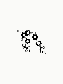 CCC(=O)N1CCN(c2ccc(Nc3ncc4c(C)cc(=O)n(C5CCCC5)c4n3)cc2)CC1.O=C(O)C(F)(F)F